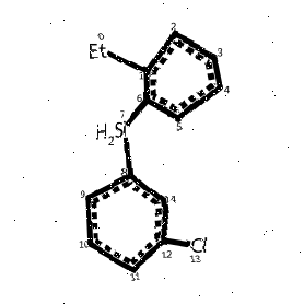 CCc1ccccc1[SiH2]c1cccc(Cl)c1